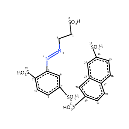 O=S(=O)(O)CCN=Nc1cc(S(=O)(=O)O)ccc1S(=O)(=O)O.O=S(=O)(O)c1ccc2ccc(S(=O)(=O)O)cc2c1